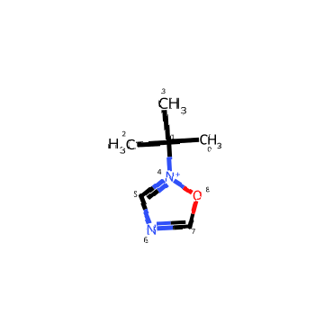 CC(C)(C)[n+]1cnco1